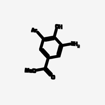 Bc1cc(C(=O)OC)cc(C(C)=O)c1O